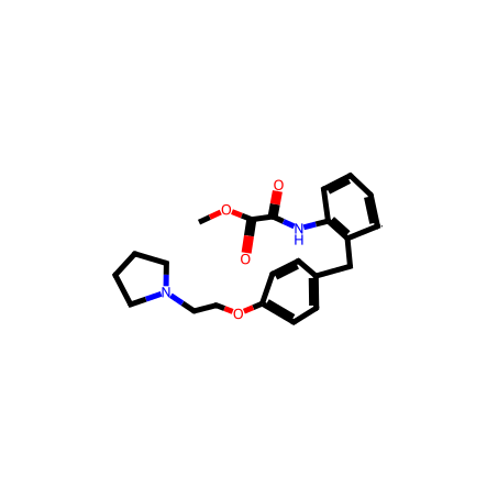 COC(=O)C(=O)Nc1ccc[c]c1Cc1ccc(OCCN2CCCC2)cc1